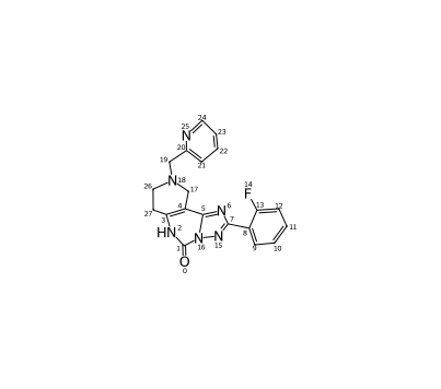 O=c1[nH]c2c(c3nc(-c4ccccc4F)nn13)CN(Cc1ccccn1)CC2